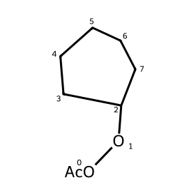 CC(=O)OOC1CCCCC1